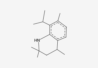 Cc1ccc2c(c1C(C)C)NC(C)(C)CC2C